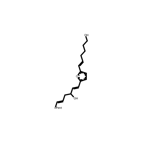 CCCCCC=CCC(O)C=Cc1ccc(C=CCCCCO)o1